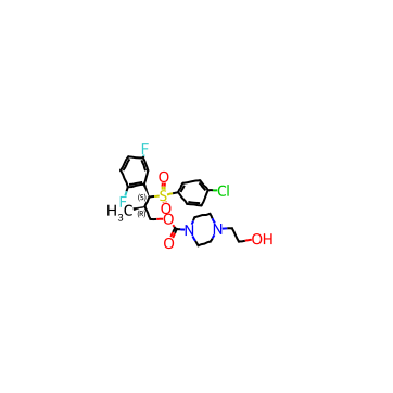 C[C@H](COC(=O)N1CCN(CCO)CC1)[C@@H](c1cc(F)ccc1F)S(=O)(=O)c1ccc(Cl)cc1